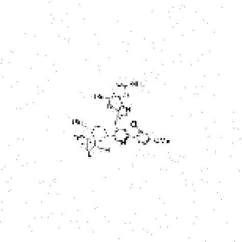 COc1ccc(-c2cc(Cn3cnc4c(OC(N)=O)nc(C(C)(C)C)nc43)c(N3CCCC(NC(=O)OC(C)(C)C)(C(O)C(F)F)C3)cn2)c(Cl)c1